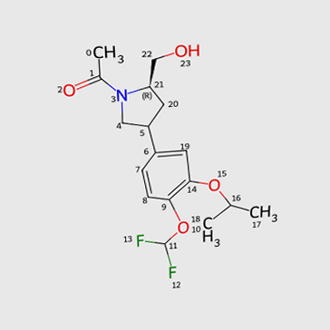 CC(=O)N1CC(c2ccc(OC(F)F)c(OC(C)C)c2)C[C@@H]1CO